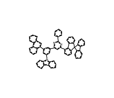 c1ccc(-c2nc(-c3cc(-c4cc5ccccc5c5ccccc45)cc(-n4c5ccccc5c5ccccc54)c3)cc(-c3cccc4c3-c3ccccc3C43c4ccccc4-c4ccccc43)n2)cc1